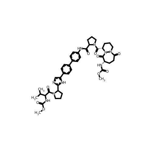 COC(=O)NC(C(=O)N1CCCC1c1ncc(-c2ccc(-c3ccc(NC(=O)C4CCCN4C(=O)[C@@H]4CCCN5C(=O)CC[C@H](NC(=O)OC)C(=O)N45)cc3)cc2)[nH]1)C(C)C